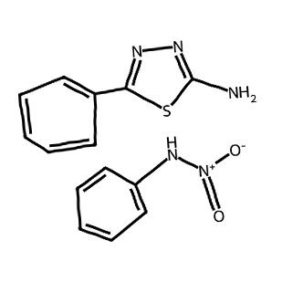 Nc1nnc(-c2ccccc2)s1.O=[N+]([O-])Nc1ccccc1